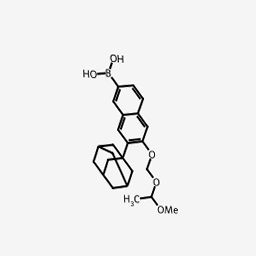 COC(C)OCOc1cc2ccc(B(O)O)cc2cc1C12CC3CC(CC(C3)C1)C2